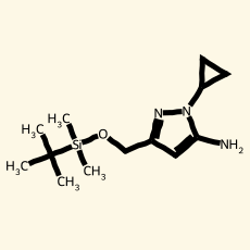 CC(C)(C)[Si](C)(C)OCc1cc(N)n(C2CC2)n1